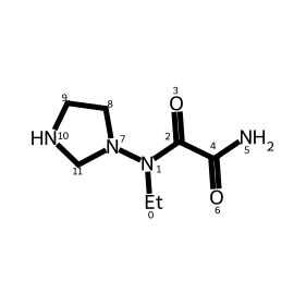 CCN(C(=O)C(N)=O)N1CCNC1